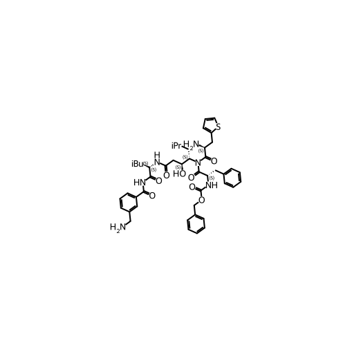 CC[C@H](C)[C@H](NC(=O)C[C@H](O)[C@H](CC(C)C)N(C(=O)[C@H](Cc1ccccc1)NC(=O)OCc1ccccc1)C(=O)[C@@H](N)Cc1cccs1)C(=O)NC(=O)c1cccc(CN)c1